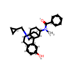 CN(C(=O)c1ccccc1)C1CCC23CCC1C21CCN(CC2CC2)C3Cc2ccc(O)cc21